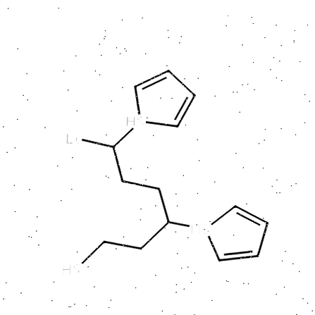 CCC(CCC(CCS)[SH]1C=CC=C1)[SH]1C=CC=C1